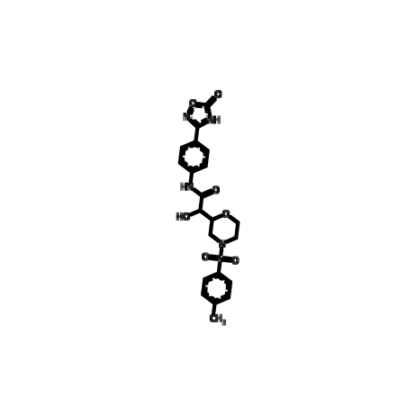 Cc1ccc(S(=O)(=O)N2CCOC(C(O)C(=O)Nc3ccc(-c4noc(=O)[nH]4)cc3)C2)cc1